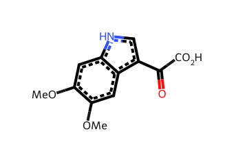 COc1cc2[nH]cc(C(=O)C(=O)O)c2cc1OC